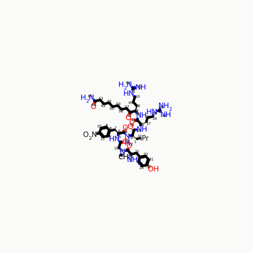 CC(C)C[C@H](NC(=O)[C@H](Cc1ccc([N+](=O)[O-])cc1)NC(=O)CN(C)C(=O)[C@@H](N)Cc1ccc(O)cc1)C(=O)N[C@@H](CCCNC(=N)N)C(=O)N[C@H](CCCNC(=N)N)C(=O)CCCCCCCC(N)=O